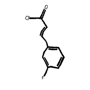 O=C(Cl)C=Cc1cccc(F)c1